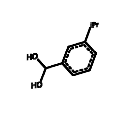 CC(C)c1cccc(C(O)O)c1